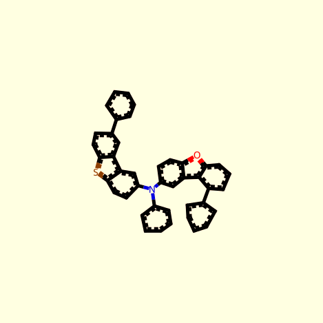 c1ccc(-c2ccc3sc4ccc(N(c5ccccc5)c5ccc6oc7cccc(-c8ccccc8)c7c6c5)cc4c3c2)cc1